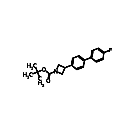 CC(C)(C)OC(=O)N1CC(c2ccc(-c3ccc(F)cc3)cc2)C1